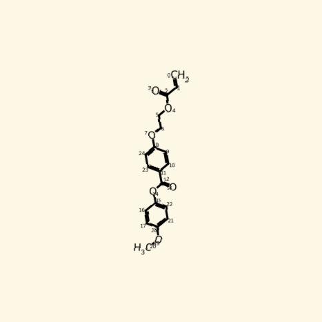 C=CC(=O)OCCOc1ccc(C(=O)Oc2ccc(OC)cc2)cc1